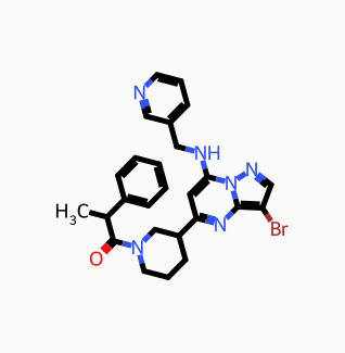 CC(C(=O)N1CCCC(c2cc(NCc3cccnc3)n3ncc(Br)c3n2)C1)c1ccccc1